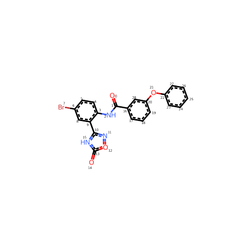 O=C(Nc1ccc(Br)cc1-c1noc(=O)[nH]1)c1cccc(Oc2ccccc2)c1